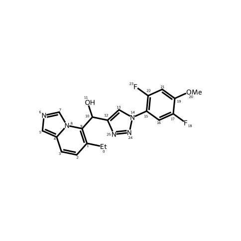 CCc1ccc2cncn2c1C(O)c1cn(-c2cc(F)c(OC)cc2F)nn1